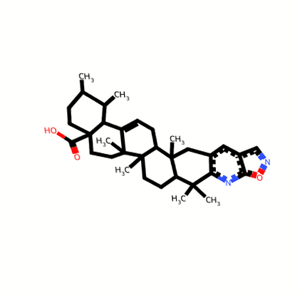 CC1CCC2(C(=O)O)CCC3(C)C(=CCC4C5(C)Cc6cc7cnoc7nc6C(C)(C)C5CCC43C)C2C1C